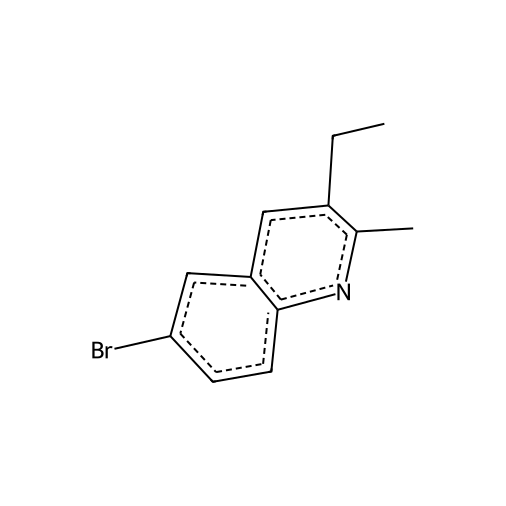 CCc1cc2cc(Br)ccc2nc1C